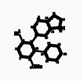 COc1ccc(C#N)c(-c2cnc3cc[nH]c3c2)c1-c1ccccc1